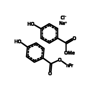 CCCOC(=O)c1ccc(O)cc1.COC(=O)c1ccc(O)cc1.[Cl-].[Na+]